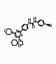 N#Cc1ccc(NC(=O)Nc2ccc(-c3nc(N4CCOCC4)nc(N4CCOC45CCCCC5)n3)cc2)cc1